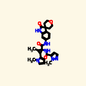 CC1C(c2cccn2C)C1(NC(=O)c1ccnn1C)C(=O)Nc1ccc2c(c1)NC(=O)C21CCOCC1